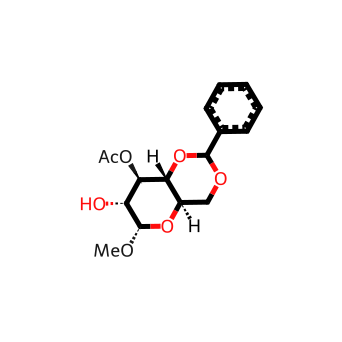 CO[C@H]1O[C@@H]2COC(c3ccccc3)O[C@H]2[C@H](OC(C)=O)[C@H]1O